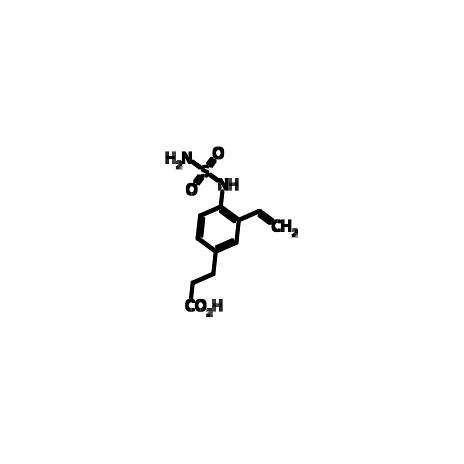 C=Cc1cc(CCC(=O)O)ccc1NS(N)(=O)=O